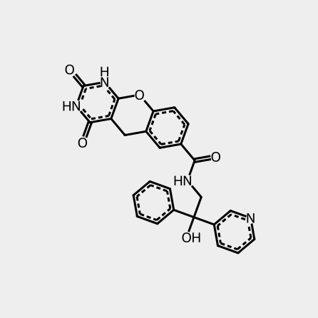 O=C(NCC(O)(c1ccccc1)c1cccnc1)c1ccc2c(c1)Cc1c([nH]c(=O)[nH]c1=O)O2